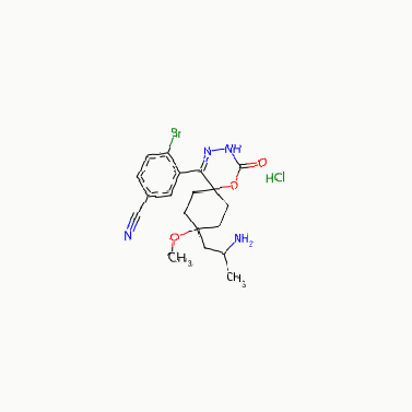 COC1(CC(C)N)CCC2(CC1)OC(=O)NN=C2c1cc(C#N)ccc1Br.Cl